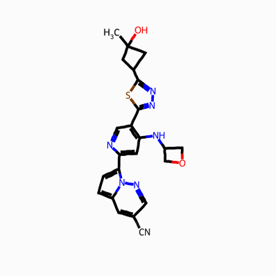 CC1(O)CC(c2nnc(-c3cnc(-c4ccc5cc(C#N)cnn45)cc3NC3COC3)s2)C1